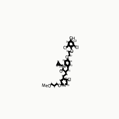 COCCCOc1cc(CCC(Cc2ccc(OCCOc3c(Cl)cc(C)cc3Cl)cc2)C(=O)NC2CC2)c(Cl)cn1